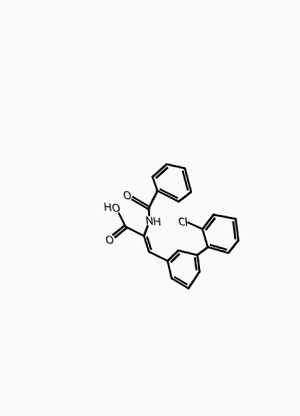 O=C(O)C(=Cc1cccc(-c2ccccc2Cl)c1)NC(=O)c1ccccc1